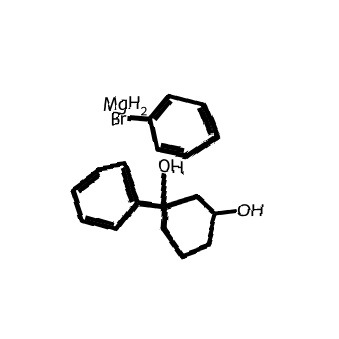 Brc1ccccc1.OC1CCCC(O)(c2ccccc2)C1.[MgH2]